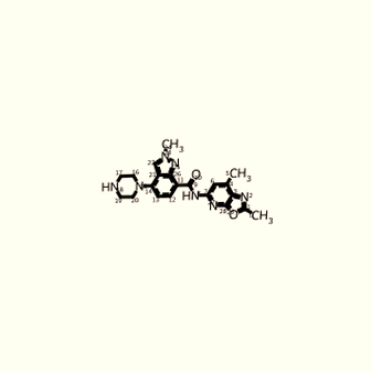 Cc1nc2c(C)cc(NC(=O)c3ccc(N4CCNCC4)c4cn(C)nc34)nc2o1